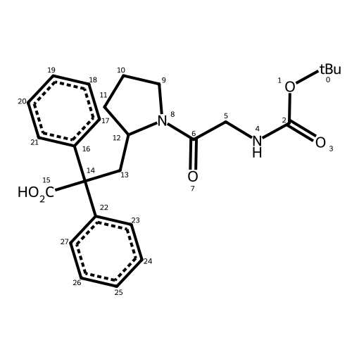 CC(C)(C)OC(=O)NCC(=O)N1CCCC1CC(C(=O)O)(c1ccccc1)c1ccccc1